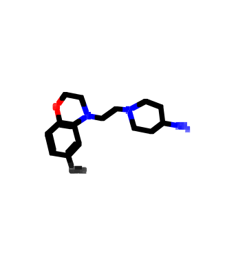 COc1ccc2c(c1)N(CCN1CCC(N)CC1)CCO2